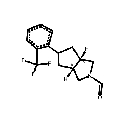 O=CN1C[C@H]2CC(c3ccccc3C(F)(F)F)C[C@H]2C1